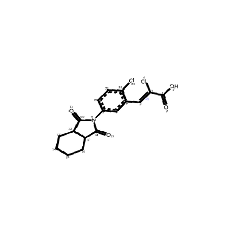 O=C(O)/C(Cl)=C/c1cc(N2C(=O)C3CCCCC3C2=O)ccc1Cl